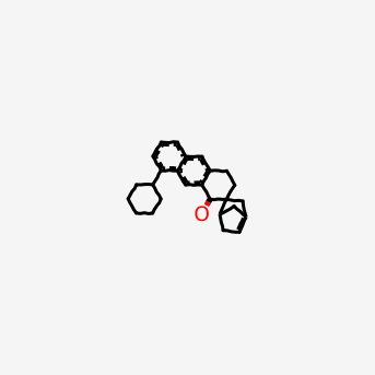 O=C1c2cc3c(C4CCCCC4)cccc3cc2CCC12CC1=CCC2C1